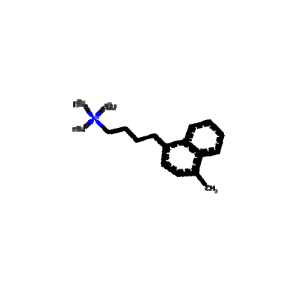 CCCC[N+](CCCC)(CCCC)CCCCc1ccc(C)c2ccccc12